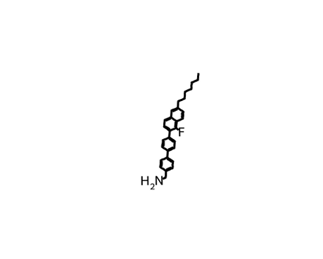 CCCCCCCc1ccc2c(F)c(-c3ccc(-c4ccc(CN)cc4)cc3)ccc2c1